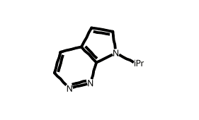 CC(C)n1ccc2ccnnc21